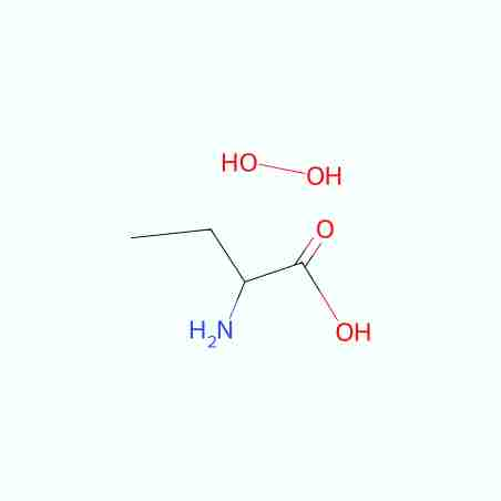 CCC(N)C(=O)O.OO